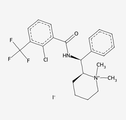 C[N+]1(C)CCCC[C@H]1[C@@H](NC(=O)c1cccc(C(F)(F)F)c1Cl)c1ccccc1.[I-]